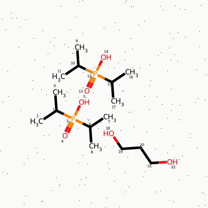 CC(C)P(=O)(O)C(C)C.CC(C)P(=O)(O)C(C)C.OCCCO